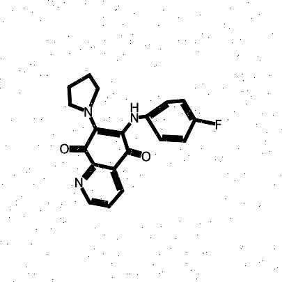 O=C1C(Nc2ccc(F)cc2)=C(N2CCCC2)C(=O)c2ncccc21